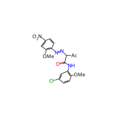 COc1cc([N+](=O)[O-])ccc1N=NC(C(C)=O)C(=O)Nc1cc(Cl)ccc1OC